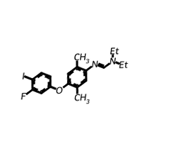 CCN(C=Nc1cc(C)c(Oc2ccc(I)c(F)c2)cc1C)CC